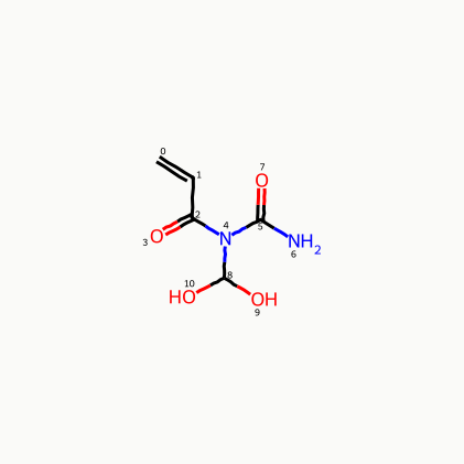 C=CC(=O)N(C(N)=O)C(O)O